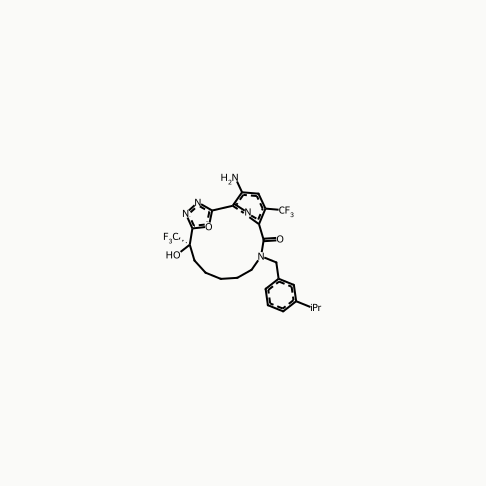 CC(C)c1cccc(CN2CCCCC[C@](O)(C(F)(F)F)c3nnc(o3)-c3nc(c(C(F)(F)F)cc3N)C2=O)c1